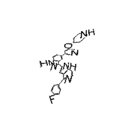 Fc1ccc(-c2nccc3[nH]c(-c4n[nH]c5ccc(-c6cncc(OC7CCNCC7)c6)cc45)cc23)cc1